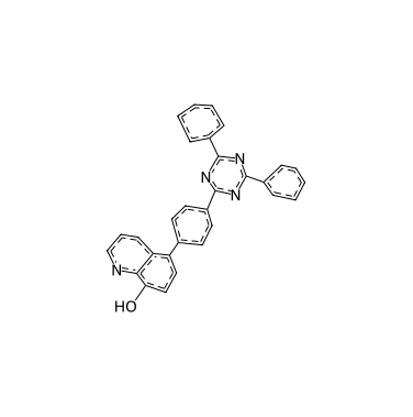 Oc1ccc(-c2ccc(-c3nc(-c4ccccc4)nc(-c4ccccc4)n3)cc2)c2cccnc12